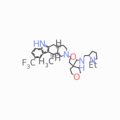 CCN1CCCC1CNC(=O)C1(CCN2CC[C@@H]3Cc4[nH]c5ccc(C(F)(F)F)cc5c4[C@H](C)[C@H]3C2)CCOCC1